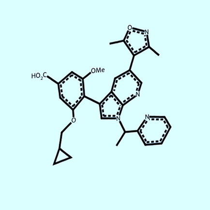 COc1cc(C(=O)O)cc(OCC2CC2)c1-c1cn(C(C)c2ccccn2)c2ncc(-c3c(C)noc3C)cc12